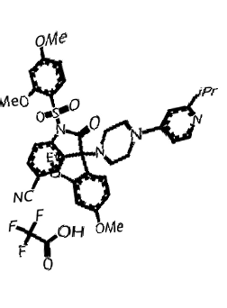 CCOc1cc(OC)ccc1C1(N2CCN(c3ccnc(C(C)C)c3)CC2)C(=O)N(S(=O)(=O)c2ccc(OC)cc2OC)c2ccc(C#N)cc21.O=C(O)C(F)(F)F